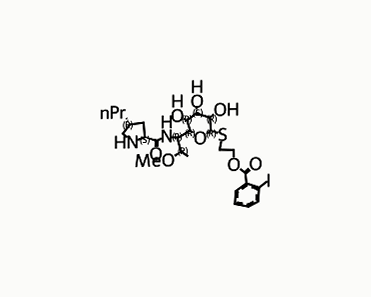 CCC[C@H]1CN[C@H](C(=O)N[C@@H]([C@H]2O[C@H](SCCOC(=O)c3ccccc3I)[C@H](O)[C@@H](O)[C@H]2O)[C@@H](C)OC)C1